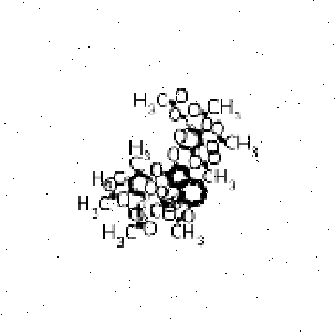 CC(=O)OC[C@H]1O[C@@H](Oc2c(OC3O[C@H](COC(C)=O)[C@@H](OC(C)=O)[C@H](OC(C)=O)[C@H]3OC(C)=O)cc3cccc(OC(C)=O)c(=O)c3c2OC(C)=O)[C@H](C)[C@@H](C)[C@@H]1OC(C)=O